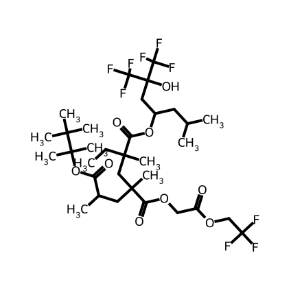 CCC(C)(CC(C)(CC(C)C(=O)OC(C)(C)C(C)(C)C)C(=O)OCC(=O)OCC(F)(F)F)C(=O)OC(CC(C)C)CC(O)(C(F)(F)F)C(F)(F)F